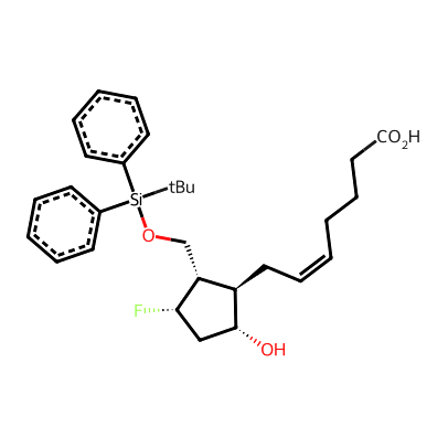 CC(C)(C)[Si](OC[C@@H]1[C@@H](C/C=C\CCCC(=O)O)[C@H](O)C[C@@H]1F)(c1ccccc1)c1ccccc1